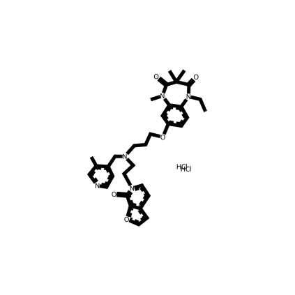 CCN1C(=O)C(C)(C)C(=O)N(C)c2cc(OCCCN(CCn3ccc4ccoc4c3=O)Cc3ccncc3C)ccc21.Cl.Cl